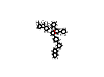 CC1(C)c2ccccc2-c2ccc(N(c3ccc(-c4ccc(-c5cccc(-c6ccc7ccccc7c6)c5)cc4)cc3)c3ccccc3-c3cccc(-c4ccccc4)c3)cc21